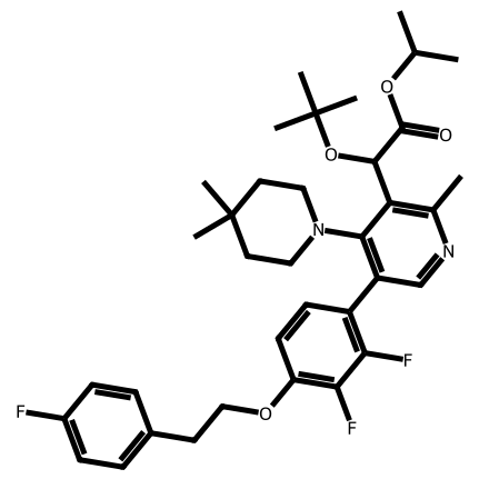 Cc1ncc(-c2ccc(OCCc3ccc(F)cc3)c(F)c2F)c(N2CCC(C)(C)CC2)c1C(OC(C)(C)C)C(=O)OC(C)C